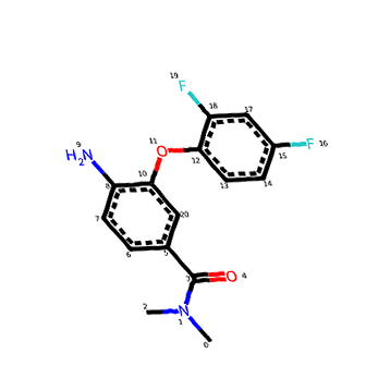 CN(C)C(=O)c1ccc(N)c(Oc2ccc(F)cc2F)c1